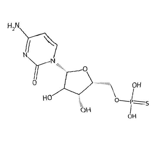 Nc1ccn([C@@H]2O[C@H](COP(O)(O)=S)[C@H](O)C2O)c(=O)n1